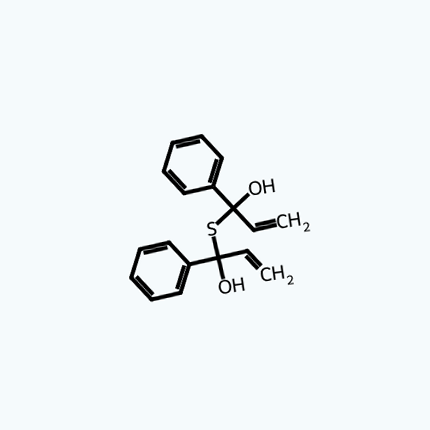 C=CC(O)(SC(O)(C=C)c1ccccc1)c1ccccc1